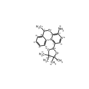 CC(Oc1nc(B2OC(C)(C)C(C)(C)O2)cnc1N)c1ccccc1